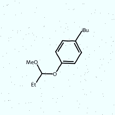 CCC(OC)Oc1ccc(C(C)CC)cc1